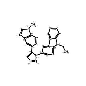 CCn1c2ccccc2c2cc(-n3nncc3-c3ccc4c(c3)ncn4C)ccc21